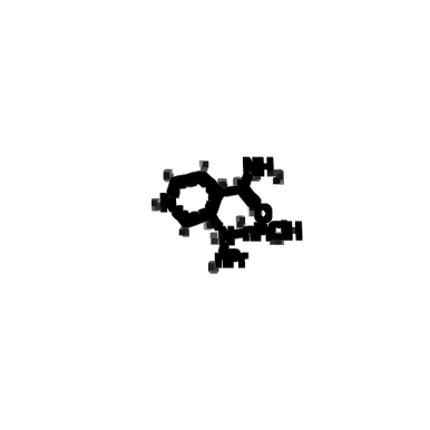 CCCN(CCC)c1cnccc1C(N)=O.Cl